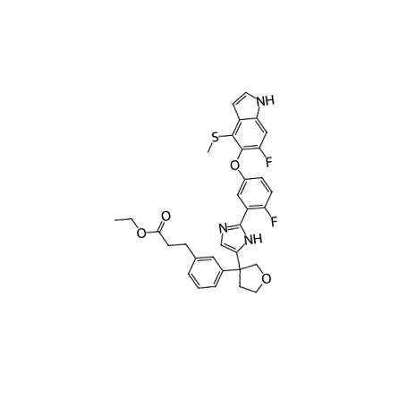 CCOC(=O)CCc1cccc(C2(c3cnc(-c4cc(Oc5c(F)cc6[nH]ccc6c5SC)ccc4F)[nH]3)CCOC2)c1